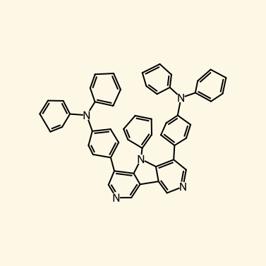 c1ccc(N(c2ccccc2)c2ccc(-c3cncc4c5cncc(-c6ccc(N(c7ccccc7)c7ccccc7)cc6)c5n(-c5ccccc5)c34)cc2)cc1